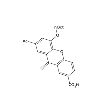 CCCCCCCCOc1cc(C(C)=O)cc2c(=O)c3cc(C(=O)O)ccc3oc12